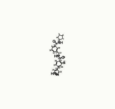 O=C(NC1CCCC1)c1cccc(CNC(=O)c2ccc(-c3cn[nH]c3)cc2F)c1